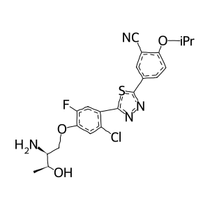 CC(C)Oc1ccc(-c2nnc(-c3cc(F)c(OC[C@H](N)[C@H](C)O)cc3Cl)s2)cc1C#N